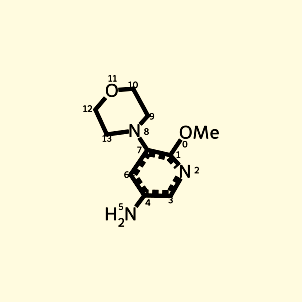 COc1ncc(N)cc1N1CCOCC1